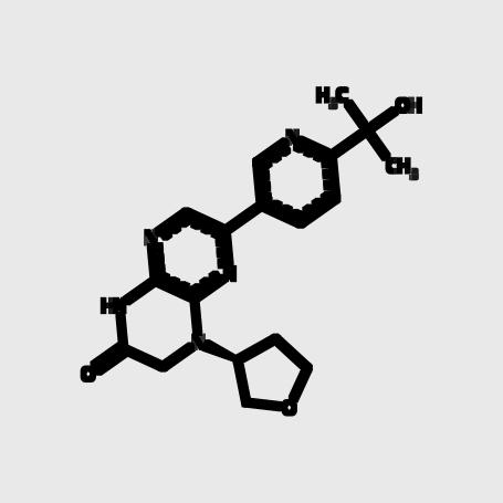 CC(C)(O)c1ccc(-c2cnc3c(n2)N([C@H]2CCOC2)CC(=O)N3)cn1